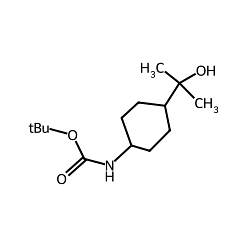 CC(C)(C)OC(=O)NC1CCC(C(C)(C)O)CC1